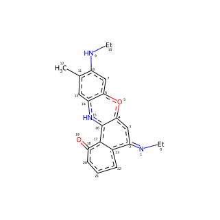 CCN=c1cc2oc3cc(NCC)c(C)cc3[nH]c-2c2c(=O)cccc1-2